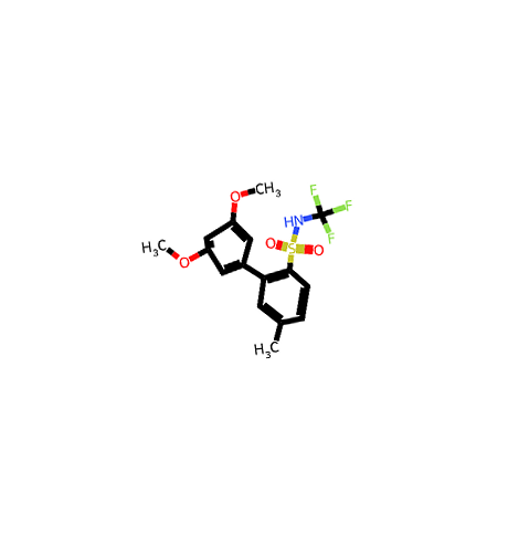 COc1cc(OC)cc(-c2cc(C)ccc2S(=O)(=O)NC(F)(F)F)c1